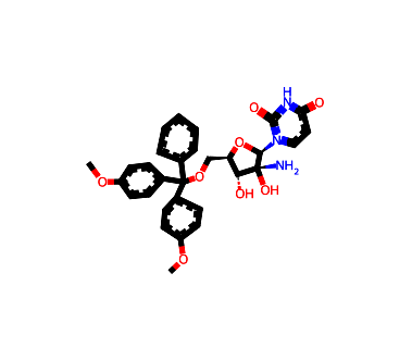 COc1ccc(C(OC[C@H]2O[C@@H](n3ccc(=O)[nH]c3=O)[C@](N)(O)[C@@H]2O)(c2ccccc2)c2ccc(OC)cc2)cc1